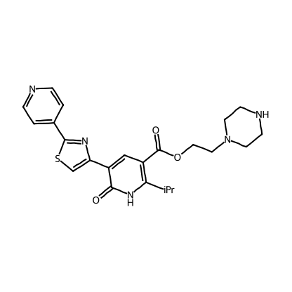 CC(C)c1[nH]c(=O)c(-c2csc(-c3ccncc3)n2)cc1C(=O)OCCN1CCNCC1